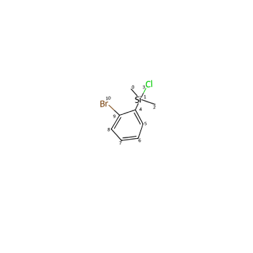 C[Si](C)(Cl)c1ccccc1Br